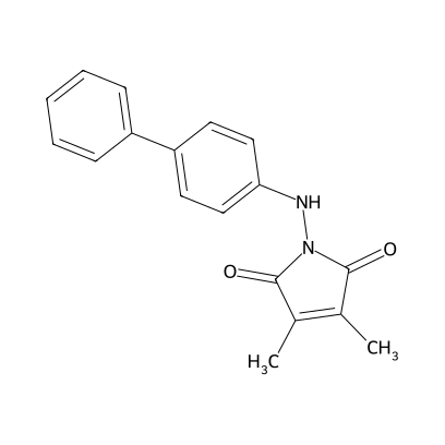 CC1=C(C)C(=O)N(Nc2ccc(-c3ccccc3)cc2)C1=O